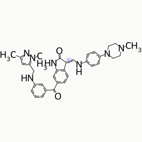 Cc1cc(CNc2cccc(C(=O)c3ccc4c(c3)NC(=O)/C4=C/Nc3ccc(N4CCN(C)CC4)cc3)c2)n(C)n1